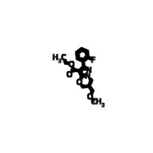 CCOC(=O)c1c(-c2ccccc2F)nn2c1OCC(COC)C2